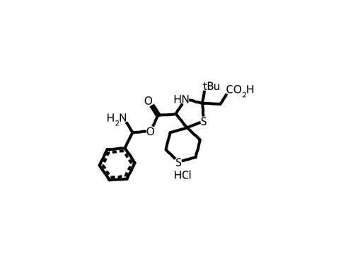 CC(C)(C)C1(CC(=O)O)NC(C(=O)OC(N)c2ccccc2)C2(CCSCC2)S1.Cl